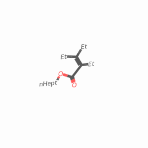 CCCCCCCOC(=O)C(CC)=C(CC)CC